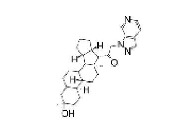 C[C@@]1(O)CC[C@H]2C(CCC3C4[C@@H]5CCC[C@@H]5[C@H](C(=O)Cn5ncc6ccncc65)[C@@]4(C)CC[C@@H]32)C1